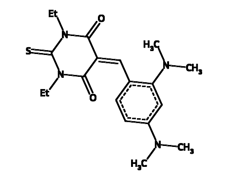 CCN1C(=O)C(=Cc2ccc(N(C)C)cc2N(C)C)C(=O)N(CC)C1=S